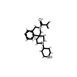 CC(C)C(=O)N1Cc2ccccc2C2(CCN(C3CCNCC3)CC2)C1